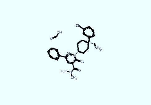 CN(C)C(=O)c1cc(-c2ccccc2)nn([C@H]2CC[C@](CN)(c3cccc(Cl)c3)CC2)c1=O.O=CO